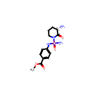 COC(=O)c1ccc(NP(N)(=O)N2CCC[C@H](N)C2=O)cc1